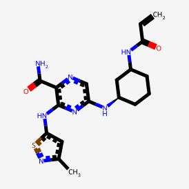 C=CC(=O)NC1CCC[C@@H](Nc2cnc(C(N)=O)c(Nc3cc(C)ns3)n2)C1